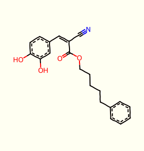 N#CC(=Cc1ccc(O)c(O)c1)C(=O)OCCCCCc1ccccc1